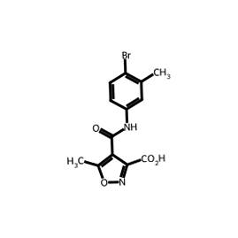 Cc1cc(NC(=O)c2c(C(=O)O)noc2C)ccc1Br